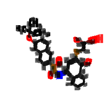 CC(C)(C)Oc1ccc2cc(S(=O)(=O)/N=C3\C=C(SCC(=O)O)C(=O)c4ccccc43)ccc2c1